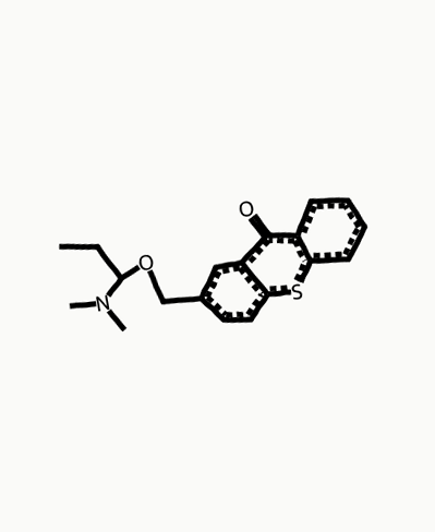 CCC(OCc1ccc2sc3ccccc3c(=O)c2c1)N(C)C